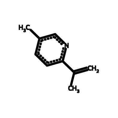 C=C(C)c1ccc(C)cn1